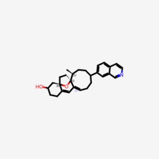 C[C@H]1CCC(c2ccc3ccncc3c2)CC/C=C2/C=C3CCC(O)C[C@]34CC[C@@]21O4